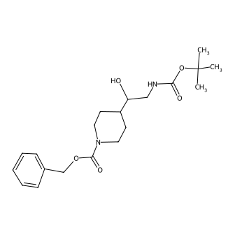 CC(C)(C)OC(=O)NCC(O)C1CCN(C(=O)OCc2ccccc2)CC1